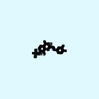 Cc1ccc(/C=C/C(=O)NC(C)c2ccc(NS(C)(=O)=O)c(F)c2)cc1C